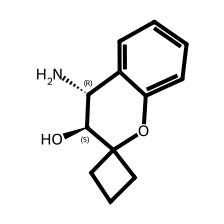 N[C@@H]1c2ccccc2OC2(CCC2)[C@H]1O